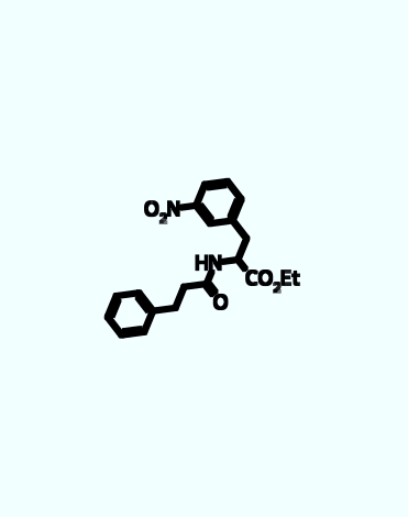 CCOC(=O)C(Cc1cccc([N+](=O)[O-])c1)NC(=O)CCc1ccccc1